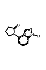 CCn1ncc2c(N3CCCC3=O)cccc21